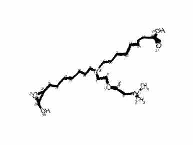 CN(C)CCOCCN(CCCCCCCC(=O)O)CCCCCCCC1OC1O